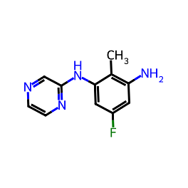 Cc1c(N)cc(F)cc1Nc1cnccn1